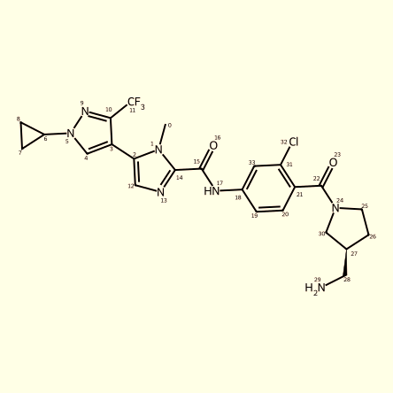 Cn1c(-c2cn(C3CC3)nc2C(F)(F)F)cnc1C(=O)Nc1ccc(C(=O)N2CC[C@@H](CN)C2)c(Cl)c1